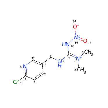 C[N+](C)=C(NCc1ccc(Cl)nc1)N[N+](=O)[O-]